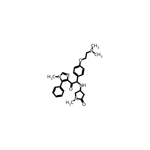 CN(C)CCOc1ccc(C(NC2CC(=O)N(C)C2)C(=O)c2ncn(C)c2-c2ccccc2)cc1